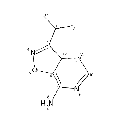 CC(C)c1noc2c(N)ncnc12